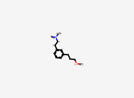 CCOCCCc1cccc(CCN(C)C(C)C)c1